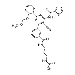 COCOc1ccccc1-c1cc(-c2cccc(C(=O)NCCCNC(=O)O)c2)c(C#N)c(NC(=O)c2cccs2)n1